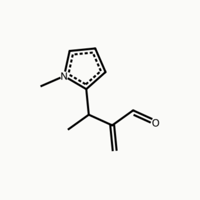 C=C(C=O)C(C)c1cccn1C